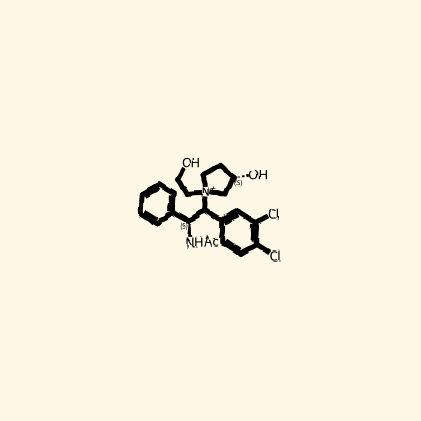 CC(=O)N[C@@H](c1ccccc1)C(c1ccc(Cl)c(Cl)c1)[N+]1(CCO)CC[C@H](O)C1